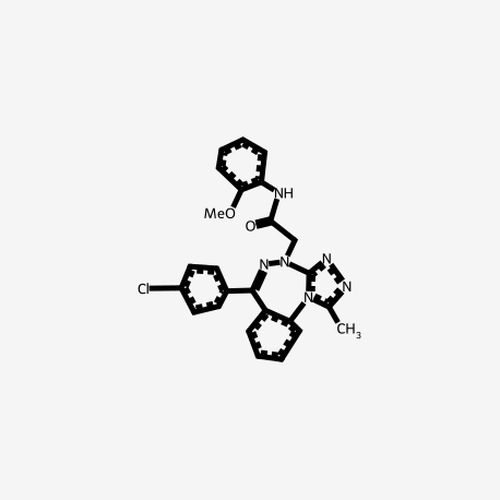 COc1ccccc1NC(=O)CN1N=C(c2ccc(Cl)cc2)c2ccccc2-n2c(C)nnc21